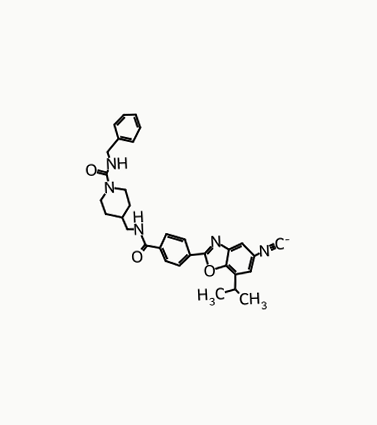 [C-]#[N+]c1cc(C(C)C)c2oc(-c3ccc(C(=O)NCC4CCN(C(=O)NCc5ccccc5)CC4)cc3)nc2c1